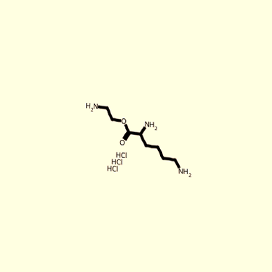 Cl.Cl.Cl.NCCCCC(N)C(=O)OCCN